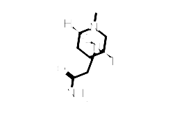 CN1C[C@@H]2CC[C@H]1CN2CC(N)=O